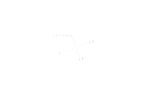 CCCC[Si](O)([SiH3])CCC